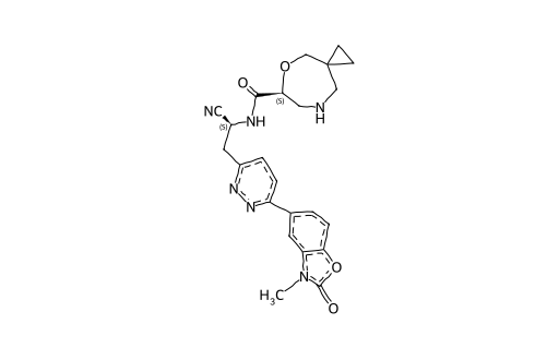 Cn1c(=O)oc2ccc(-c3ccc(C[C@@H](C#N)NC(=O)[C@@H]4CNCC5(CC5)CO4)nn3)cc21